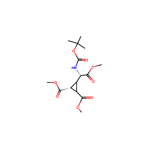 COC(=O)C1C([C@H](NC(=O)OC(C)(C)C)C(=O)OC)[C@H]1C(=O)OC